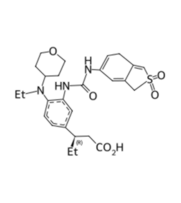 CC[C@H](CC(=O)O)c1ccc(N(CC)C2CCOCC2)c(NC(=O)NC2=CCC3=CS(=O)(=O)CC3=C2)c1